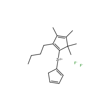 CCCCC1=[C]([Zr+2][C]2=CC=CC2)C(C)(C)C(C)=C1C.[F-].[F-]